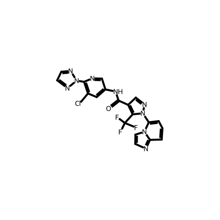 O=C(Nc1cnc(-n2nccn2)c(Cl)c1)c1cnn(-c2cccc3nccn23)c1C(F)(F)F